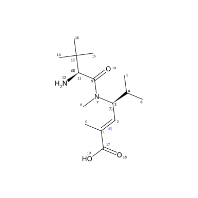 C/C(=C\[C@H](C(C)C)N(C)C(=O)[C@@H](N)C(C)(C)C)C(=O)O